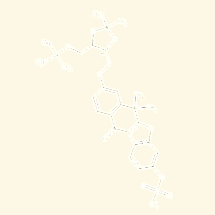 CC1(C)OC(CO[Si](C)(C)C(C)(C)C)[C@@H](COc2ccc3c(c2)C(C)(C)c2oc4cc(OS(=O)(=O)C(F)(F)F)ccc4c2C3=O)O1